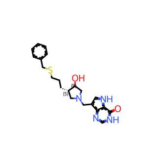 O=c1[nH]cnc2c(CN3C[C@H](CCCSCc4ccccc4)[C@@H](O)C3)c[nH]c12